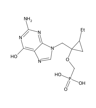 CCC1CC1(Cn1cnc2c(O)nc(N)nc21)OCP(=O)(O)O